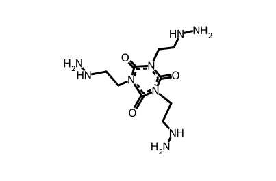 NNCCn1c(=O)n(CCNN)c(=O)n(CCNN)c1=O